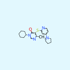 Cc1ncn(C2CCCCC2)c(=O)c1Sc1cc(N2CCCC2)ccn1